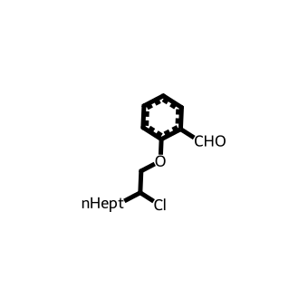 CCCCCCCC(Cl)COc1ccccc1C=O